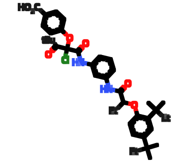 CCC(Oc1ccc(C(C)(C)CC)cc1C(C)(C)CC)C(=O)Nc1cccc(NC(=O)C(Cl)(Oc2ccc(C(=O)O)cc2)C(=O)C(C)(C)C)c1